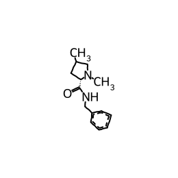 CC1C[C@@H](C(=O)NCc2ccccc2)N(C)C1